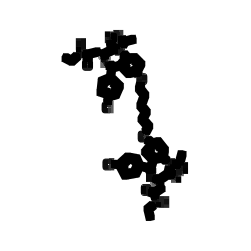 CCNC(=O)C[C@@H]1N=C(c2ccc(Cl)cc2)c2cc(OCCCCCCOc3ccc4c(c3)C(c3ccc(Cl)cc3)=N[C@@H](CC(=O)NCC)c3nnc(C)n3-4)ccc2-n2c(C)nnc21